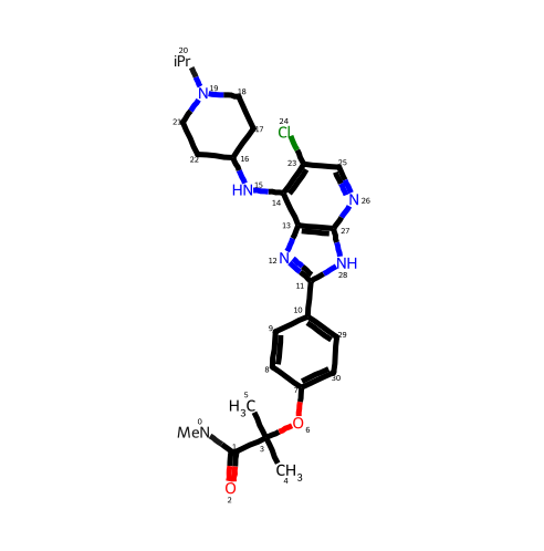 CNC(=O)C(C)(C)Oc1ccc(-c2nc3c(NC4CCN(C(C)C)CC4)c(Cl)cnc3[nH]2)cc1